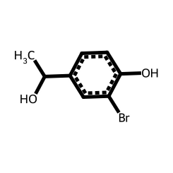 CC(O)c1ccc(O)c(Br)c1